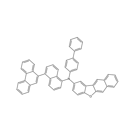 c1ccc(-c2ccc(N(c3ccc4oc5cc6ccccc6cc5c4c3)c3cccc4c(-c5cc6ccccc6c6ccccc56)cccc34)cc2)cc1